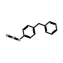 [N-]=[N+]=Nc1ccc(Cc2ccccc2)cc1